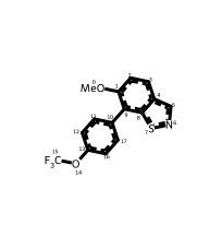 COc1ccc2cnsc2c1-c1ccc(OC(F)(F)F)cc1